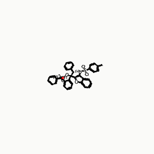 Cc1ccc(S(=O)(=O)Nc2c(C(Cc3ccccc3)(O[PH](=O)O)c3ccccc3Cc3ccccc3)oc3ccccc23)cc1